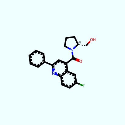 O=C(c1cc(-c2ccccc2)nc2ccc(F)cc12)N1CCC[C@@H]1CO